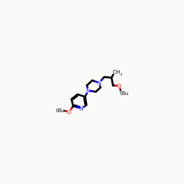 CC(COC(C)(C)C)CN1CCN(c2ccc(OC(C)(C)C)nc2)CC1